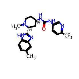 Cc1ccc2[nH]c([C@H]3C[C@H](NC(=O)Nc4ccc(C(F)(F)F)nc4)CCN3C)nc2c1